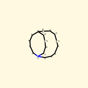 C1CCCCN2CCCCC(CCC1)CCCC2